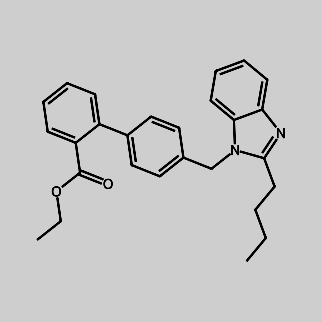 CCCCc1nc2ccccc2n1Cc1ccc(-c2ccccc2C(=O)OCC)cc1